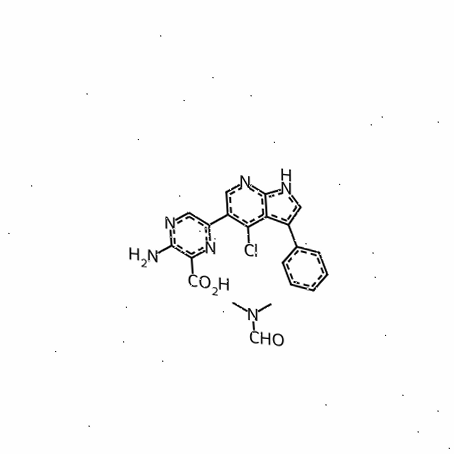 CN(C)C=O.Nc1ncc(-c2cnc3[nH]cc(-c4ccccc4)c3c2Cl)nc1C(=O)O